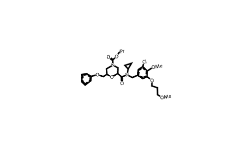 COCCCOc1cc(CN(C(=O)C2CN(C(=O)OC(C)C)CC(COc3ccccc3)O2)C2CC2)cc(Cl)c1OC